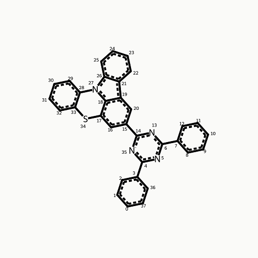 c1ccc(-c2nc(-c3ccccc3)nc(-c3cc4c5c(c3)c3ccccc3n5-c3ccccc3S4)n2)cc1